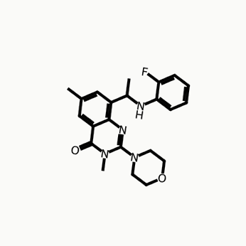 Cc1cc(C(C)Nc2ccccc2F)c2nc(N3CCOCC3)n(C)c(=O)c2c1